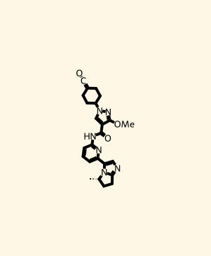 COc1nn(C2CCC(=C=O)CC2)cc1C(=O)Nc1cccc(-c2cnc3n2[C@@H](C)CC3)n1